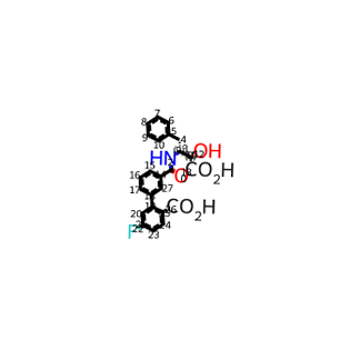 O=C(N[C@H](Cc1ccccc1)[C@@H](O)C(=O)O)c1cccc(-c2cc(F)ccc2C(=O)O)c1